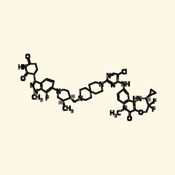 C[C@H]1CN(c2ccc3c(C4CCC(=O)NC4=O)nn(C)c3c2F)CC[C@H]1CN1CCC2(CC1)CCN(c1ncc(Cl)c(Nc3ccc4c(c3)c3c(c(=O)n4C)OCC(F)(F)[C@H](C4CC4)N3)n1)CC2